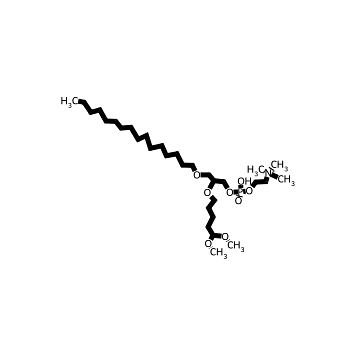 CCCCCCCCCCCCCCCCOCC(COP(=O)(O)OCC[N+](C)(C)C)OCCCCC(OC)OC